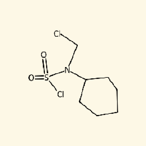 O=S(=O)(Cl)N(CCl)C1CCCCC1